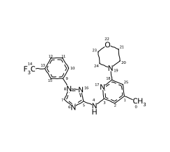 Cc1cc(Nc2ncn(-c3cccc(C(F)(F)F)c3)n2)nc(N2CCOCC2)c1